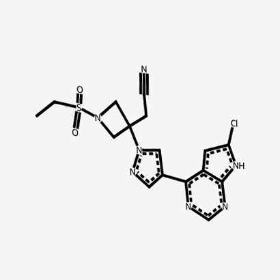 CCS(=O)(=O)N1CC(CC#N)(n2cc(-c3ncnc4[nH]c(Cl)cc34)cn2)C1